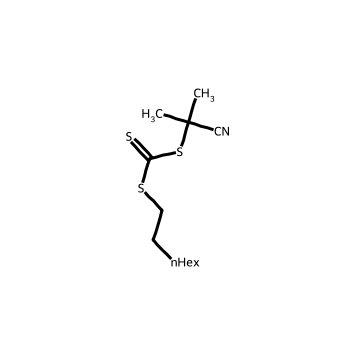 CCCCCCCCSC(=S)SC(C)(C)C#N